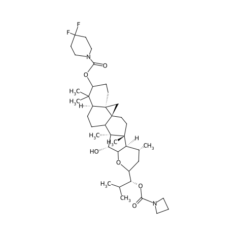 CC(C)[C@@H](OC(=O)N1CCC1)C1C[C@@H](C)[C@H]2C(O1)[C@H](O)[C@@]1(C)C3CC[C@H]4C(C)(C)C(OC(=O)N5CCC(F)(F)CC5)CC[C@@]45C[C@@]35CC[C@]21C